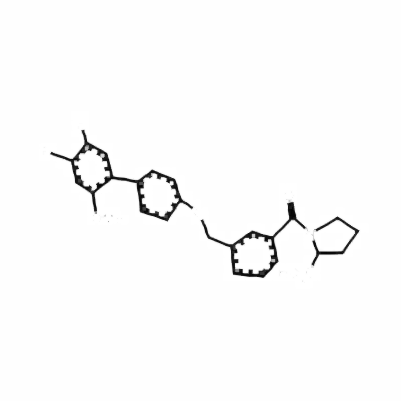 COc1cc(F)c(F)cc1-c1ccc(OCc2cccc(C(=O)N3CCCC3C(=O)O)c2)cc1